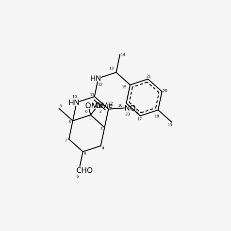 COC1(OC)C2CC(C=O)CC1(C)NC(NC(C)c1ccc(C)cc1)=C2[N+](=O)[O-]